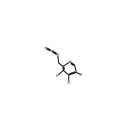 [N-]=[N+]=NCc1ncc(F)c(Cl)c1F